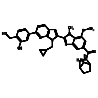 COc1cc(C(=O)N2CC3CCC2[C@@H]3N)cc2nc(-c3cc4ccc(-c5ccc(CO)c(O)c5)nc4n3CC3CC3)n(C)c12